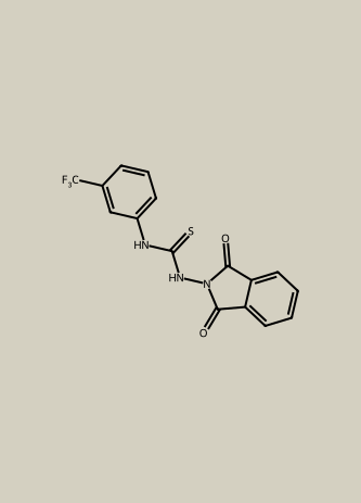 O=C1c2ccccc2C(=O)N1NC(=S)Nc1cccc(C(F)(F)F)c1